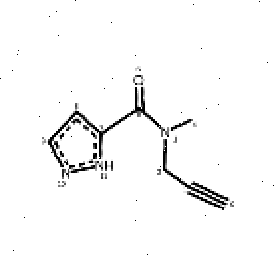 C#CCN(C)C(=O)c1ccn[nH]1